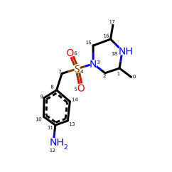 CC1CN(S(=O)(=O)Cc2ccc(N)cc2)CC(C)N1